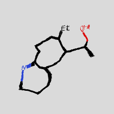 CCC1CCC2=NCCCC2CC1C(C)O